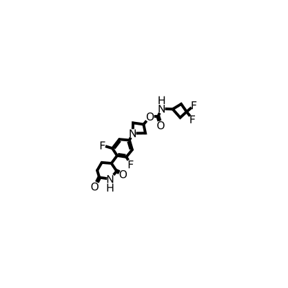 O=C1CCC(c2c(F)cc(N3CC(OC(=O)NC4CC(F)(F)C4)C3)cc2F)C(=O)N1